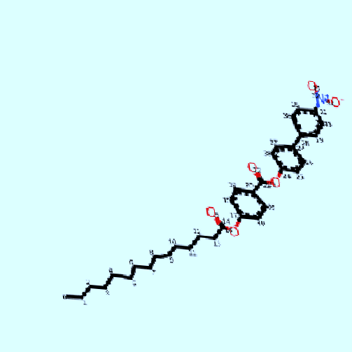 CCCCCCCCCCCCCCC(=O)Oc1ccc(C(=O)Oc2ccc(-c3ccc([N+](=O)[O-])cc3)cc2)cc1